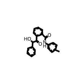 Cc1ccc(NC(=O)c2ccccc2C(=O)C(O)c2ccccc2)cc1